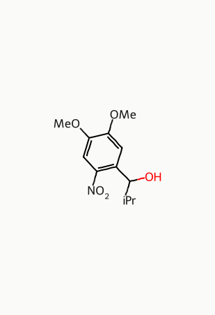 COc1cc(C(O)C(C)C)c([N+](=O)[O-])cc1OC